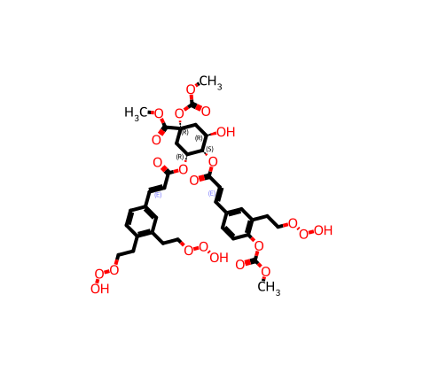 COC(=O)Oc1ccc(/C=C/C(=O)O[C@H]2[C@H](O)C[C@](OC(=O)OC)(C(=O)OC)C[C@H]2OC(=O)/C=C/c2ccc(CCOOO)c(CCOOO)c2)cc1CCOOO